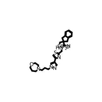 O=C(O)CC1(C(=O)NCc2nc(-c3cnn(CCCN4CCCOCC4)c3)cs2)Cc2ccccc2C1